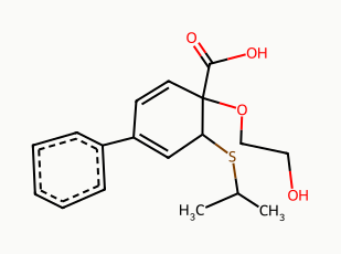 CC(C)SC1C=C(c2ccccc2)C=CC1(OCCO)C(=O)O